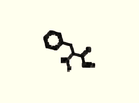 COC(=O)C(Cc1ccccc1)NF